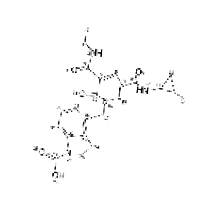 CCNC(=O)c1cc(C(=O)NC2CC2C)cn(Cc2cccc3c2CCN3C(=O)O)c1=O